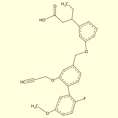 C#CCOc1cc(COc2cccc(C(CC)CC(=O)O)c2)ccc1-c1cc(OC)ccc1F